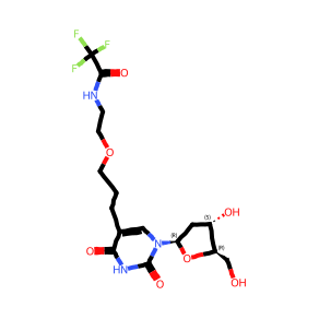 O=C(NCCOCCCc1cn([C@H]2C[C@H](O)[C@@H](CO)O2)c(=O)[nH]c1=O)C(F)(F)F